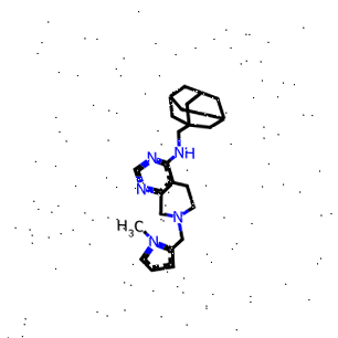 Cn1cccc1CN1CCc2c(ncnc2NCC23CC4CC(CC(C4)C2)C3)C1